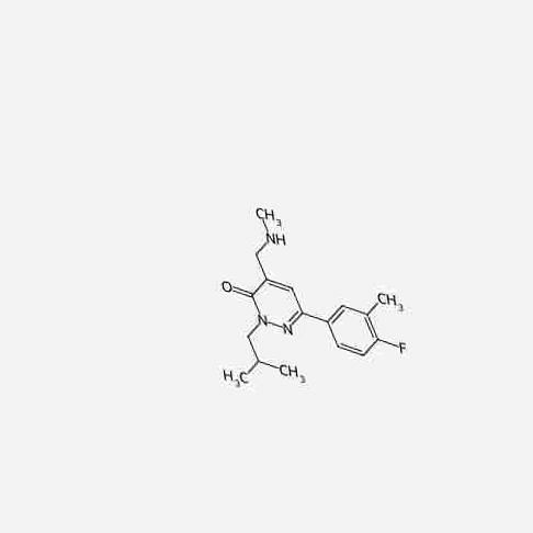 CNCc1cc(-c2ccc(F)c(C)c2)nn(CC(C)C)c1=O